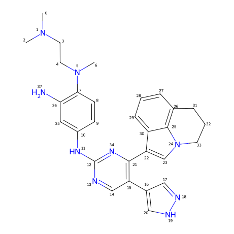 CN(C)CCN(C)c1ccc(Nc2ncc(-c3cn[nH]c3)c(-c3cn4c5c(cccc35)CCC4)n2)cc1N